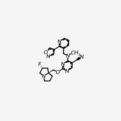 CN(Cc1cccnc1-c1cnoc1)c1nc(OC[C@@]23CCCN2C[C@H](F)C3)ncc1C#N